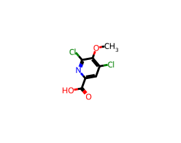 COc1c(Cl)cc(C(=O)O)nc1Cl